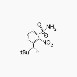 CC(c1cccc(S(N)(=O)=O)c1[N+](=O)[O-])C(C)(C)C